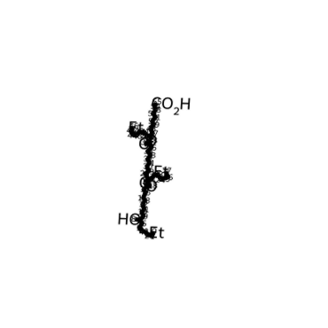 CC/C=C\C/C=C\CC(O)CCCCCCCCC(=O)OC(C/C=C\C/C=C\CC)CCCCCCCCC(=O)OC(C/C=C\C/C=C\CC)CCCCCCCCC(=O)O